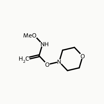 C=C(NOC)ON1CCOCC1